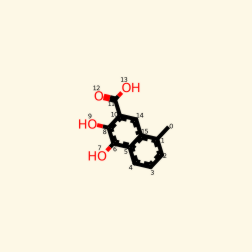 Cc1cccc2c(O)c(O)c(C(=O)O)cc12